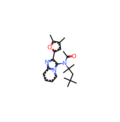 CC(=O)N(c1c(-c2cc(C)c(C)o2)nc2ccccn12)C(C)(C)CC(C)(C)C